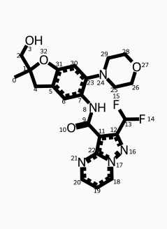 CC1(CO)Cc2cc(NC(=O)c3c(C(F)F)nn4cccnc34)c(N3CCOCC3)cc2O1